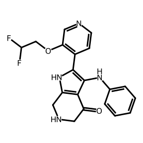 O=C1CNCc2[nH]c(-c3ccncc3OCC(F)F)c(Nc3ccccc3)c21